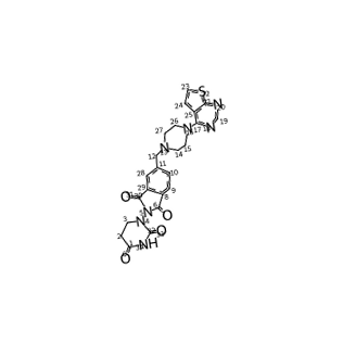 O=C1CCN(N2C(=O)c3ccc(CN4CCN(c5ncnc6sccc56)CC4)cc3C2=O)C(=O)N1